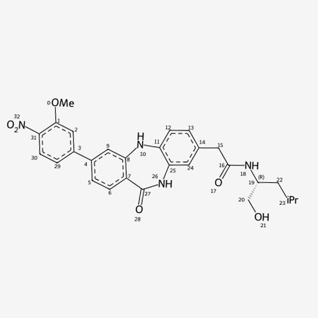 COc1cc(-c2ccc3c(c2)Nc2ccc(CC(=O)N[C@@H](CO)CC(C)C)cc2NC3=O)ccc1[N+](=O)[O-]